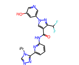 CC(C)n1cnnc1-c1cccc(NC(=O)c2cn(-c3cncc(O)c3)nc2C(F)F)n1